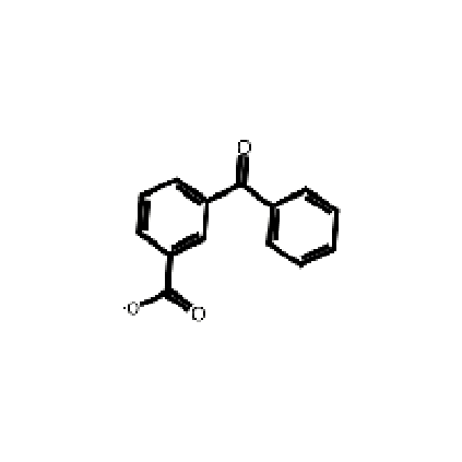 [O]C(=O)c1cccc(C(=O)c2ccccc2)c1